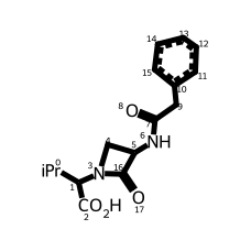 CC(C)C(C(=O)O)N1CC(NC(=O)Cc2ccccc2)C1=O